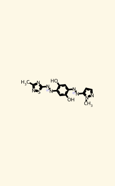 Cc1nsc(/N=N/c2cc(O)c(/N=N/c3ccnn3C)cc2O)n1